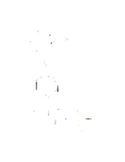 CC(C)S(=O)(=O)NCC(C)(O)c1ccc(B2OC(C)(C)C(C)(C)O2)cc1